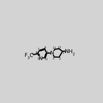 NC1CCN(c2ccc(C(F)(F)F)nc2)CC1